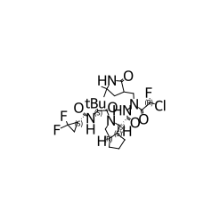 CC1(C)CC(CN(NC(=O)[C@@H]2[C@H]3CCC[C@H]3CN2C(=O)[C@@H](NC(=O)[C@@H]2CC2(F)F)C(C)(C)C)C(=O)[C@H](F)Cl)C(=O)N1